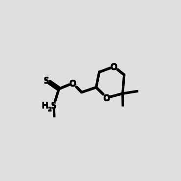 C[SH2]C(=S)OCC1COCC(C)(C)O1